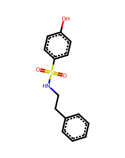 O=S(=O)(NCCc1cc[c]cc1)c1ccc(O)cc1